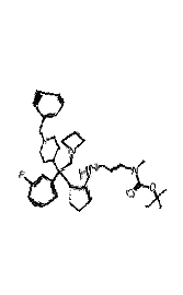 CN(CCN[C@H]1CCC[C@@H]1[C@](CN1CCC1)(c1cccc(F)c1)C1CCN(Cc2ccccc2)CC1)C(=O)OC(C)(C)C